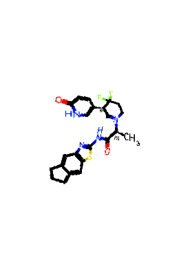 C[C@@H](C(=O)Nc1nc2cc3c(cc2s1)CCC3)N1CCC(F)(F)[C@H](c2ccc(=O)[nH]c2)C1